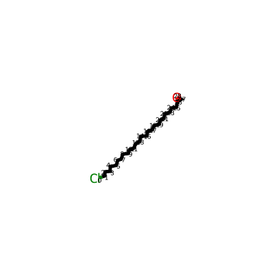 ClCCCCCCCCCCCCCCCCCCCCCCCCCC1CO1